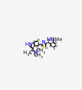 COc1ccccc1C(N)c1csc(-c2ccc3[nH]cc(C(C)N(C)C)c3c2)n1